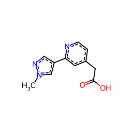 Cn1cc(-c2cc(CC(=O)O)ccn2)cn1